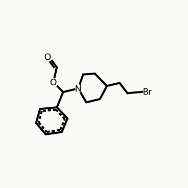 O=COC(c1ccccc1)N1CCC(CCBr)CC1